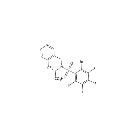 O=C(O)CN(Cc1cnccc1C(F)(F)F)S(=O)(=O)c1c(F)c(F)c(F)c(F)c1Br